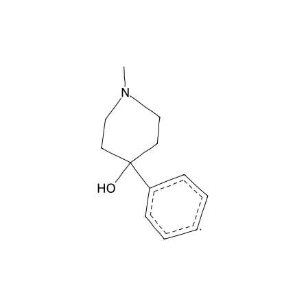 CN1CCC(O)(c2cc[c]cc2)CC1